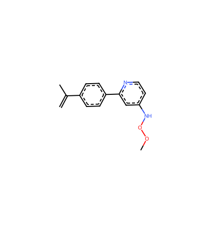 C=C(C)c1ccc(-c2cc(NOOC)ccn2)cc1